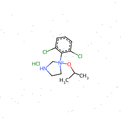 CC(C)O[N+]1(c2c(Cl)cccc2Cl)CCNC1.Cl